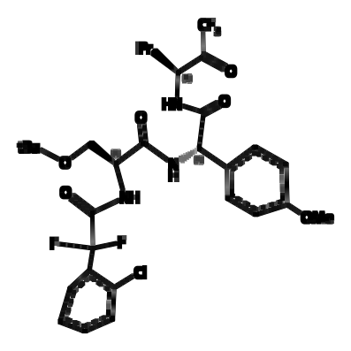 COc1ccc([C@H](NC(=O)[C@H](COC(C)(C)C)NC(=O)C(F)(F)c2ccccc2Cl)C(=O)N[C@H](C(=O)C(F)(F)F)C(C)C)cc1